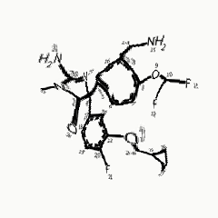 CN1C(=O)C(c2ccc(OC(F)F)c(CN)c2)(c2ccc(F)c(OCC3CC3)c2)N=C1N